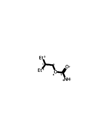 CCC(CC)COC([NH])=O